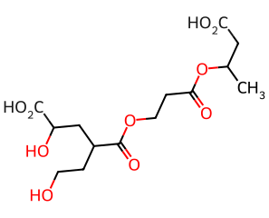 CC(CC(=O)O)OC(=O)CCOC(=O)C(CCO)CC(O)C(=O)O